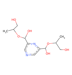 CC(CO)OC(O)c1cncc(C(O)OC(C)CO)n1